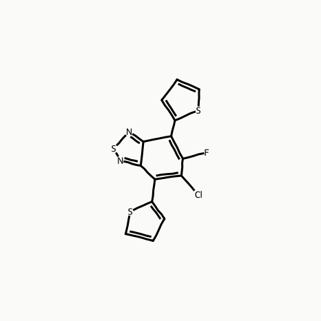 Fc1c(Cl)c(-c2cccs2)c2nsnc2c1-c1cccs1